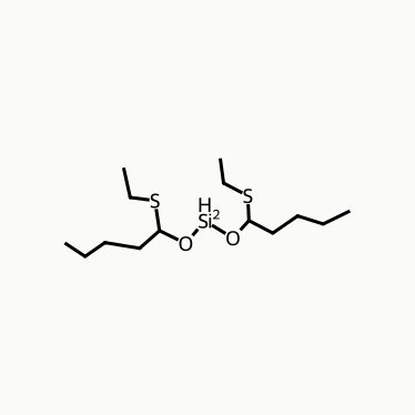 CCCCC(O[SiH2]OC(CCCC)SCC)SCC